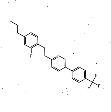 CCCc1ccc(CCc2ccc(-c3ccc(C(F)(F)F)cc3)cc2)c(F)c1